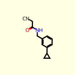 [C-]#[N+]CC(=O)NCc1cccc(C2CC2)c1